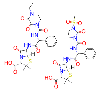 CC1(C)S[C@@H]2[C@H](NC(=O)[C@H](NC(=O)N3CCN(S(C)(=O)=O)C3=O)c3ccccc3)C(=O)N2[C@H]1C(=O)O.CCN1CCN(C(=O)N[C@@H](C(=O)N[C@@H]2C(=O)N3[C@@H]2SC(C)(C)[C@@H]3C(=O)O)c2ccccc2)C(=O)C1=O